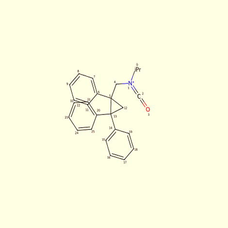 CC(C)[N+](=C=O)CC1(c2ccccc2)CC1(c1ccccc1)c1ccccc1